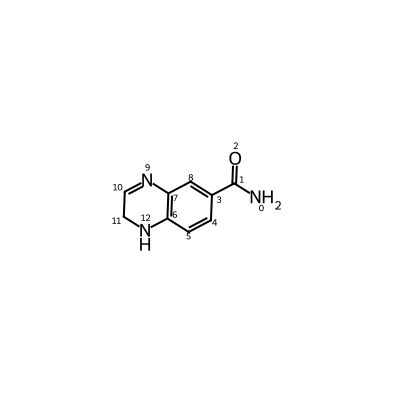 NC(=O)c1ccc2c(c1)N=CCN2